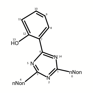 CCCCCCCCCc1nc(CCCCCCCCC)nc(-c2ccccc2O)n1